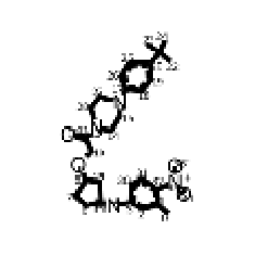 Cc1cc(N[C@@H]2CCC(OCC(=O)N3CCN(c4ccc(C(C)(C)C)cc4)CC3)C2)ccc1[N+](=O)[O-]